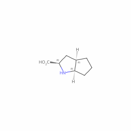 O=C(O)[C@H]1C[C@H]2CCC[C@H]2N1